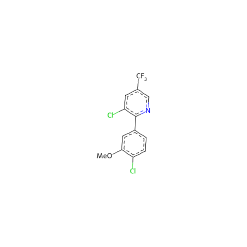 COc1cc(-c2ncc(C(F)(F)F)cc2Cl)ccc1Cl